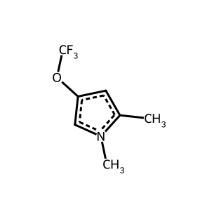 Cc1cc(OC(F)(F)F)cn1C